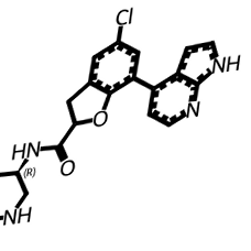 O=C(N[C@@H]1CCCNC1)C1Cc2cc(Cl)cc(-c3ccnc4[nH]ccc34)c2O1